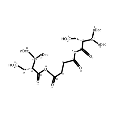 CCCCCCCCCCN(CCCCCCCCCC)[C@@H](CC(=O)O)C(=O)OC(=O)CCC(=O)OC(=O)[C@H](CC(=O)O)N(CCCCCCCCCC)CCCCCCCCCC